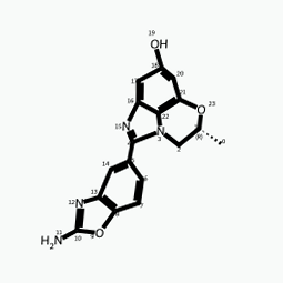 C[C@@H]1Cn2c(-c3ccc4oc(N)nc4c3)nc3cc(O)cc(c32)O1